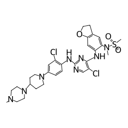 CN1CCN(C2CCN(c3ccc(Nc4ncc(Cl)c(Nc5cc6c(cc5N(C)S(C)(=O)=O)CCO6)n4)c(Cl)c3)CC2)CC1